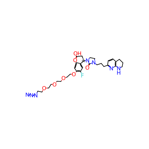 [N-]=[N+]=NCCOCCOCCOCCOc1ccc([C@@H](CC(=O)O)N2CCN(CCCc3ccc4c(n3)NCCC4)C2=O)cc1F